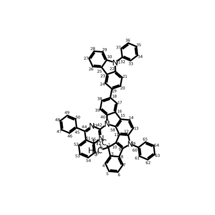 CC1(C)c2ccccc2-c2c1c1c(ccc3c4cc(-c5ccc6c(c5)c5ccccc5n6-c5ccccc5)ccc4n(-c4nc(-c5ccccc5)c5ccccc5n4)c31)n2-c1ccccc1